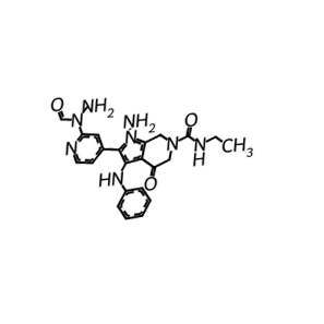 CCNC(=O)N1CC(=O)c2c(Nc3ccccc3)c(-c3ccnc(N(N)C=O)c3)n(N)c2C1